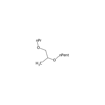 CCCCCOC(C)COCCC